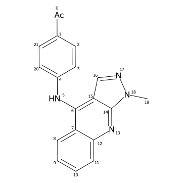 CC(=O)c1ccc(Nc2c3ccccc3nc3c2cnn3C)cc1